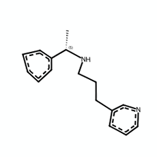 C[C@H](NCCCc1cccnc1)c1ccccc1